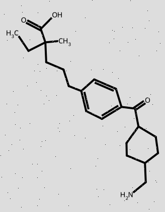 CCC(C)(CCCc1ccc(C(=O)C2CCC(CN)CC2)cc1)C(=O)O